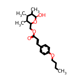 CCCCOc1ccc(/C=C/C(=O)OCC2O[C@H](O)C(C)[C@@H](C)[C@@H]2C)cc1